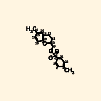 Cc1ccc(S(=O)(=O)OCC2CCc3cc(C)ccc3O2)cc1